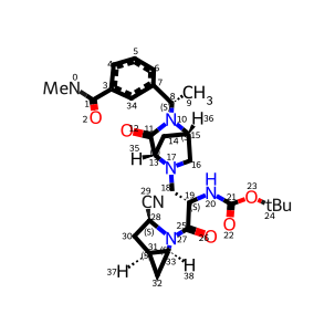 CNC(=O)c1cccc([C@H](C)N2C(=O)[C@@H]3C[C@H]2CN3C[C@H](NC(=O)OC(C)(C)C)C(=O)N2[C@H](C#N)C[C@@H]3C[C@@H]32)c1